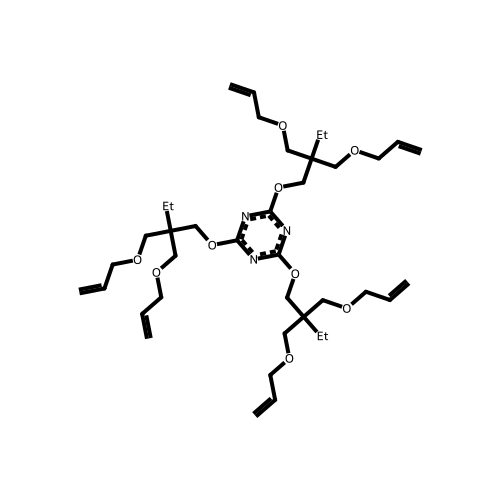 C=CCOCC(CC)(COCC=C)COc1nc(OCC(CC)(COCC=C)COCC=C)nc(OCC(CC)(COCC=C)COCC=C)n1